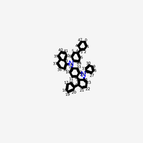 c1ccc(-c2ccc(N(c3ccc4c5c(-c6ccccc6)cccc5n(-c5ccccc5)c4c3)c3cccc4ccccc34)cc2)cc1